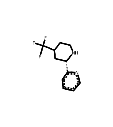 FC(F)(F)C1CCN[C@H](c2ccccn2)C1